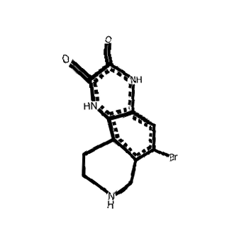 O=c1[nH]c2cc(Br)c3c(c2[nH]c1=O)CCNC3